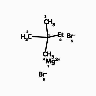 CCC(C)(C)C.[Br-].[Br-].[Mg+2]